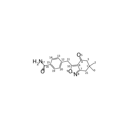 CC1(C)CC(=O)c2c(noc2Cc2ccc(C(N)=O)cc2)C1